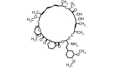 CO[C@H]1C[C@@H]2CC[C@@H](C)[C@@](O)(O2)C(=O)C(=O)N2CCCC[C@H]2C(=O)O[C@H]([C@H](N)CC2CC[C@@H](OC)[C@H](OC)C2)CC[C@H](C)/C=C(\C)[C@@H](O)[C@@H](O)C(=O)[C@H](C)C[C@H](C)/C=C/C=C/C=C/1C